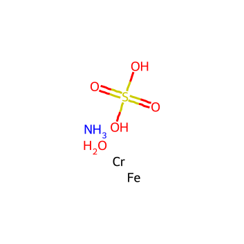 N.O.O=S(=O)(O)O.[Cr].[Fe]